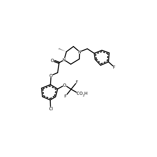 C[C@@H]1CN(Cc2ccc(F)cc2)CCN1C(=O)COc1ccc(Cl)cc1OC(F)(F)C(=O)O